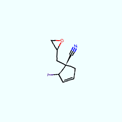 N#C[C@@]1(CC2CO2)CC=CC1I